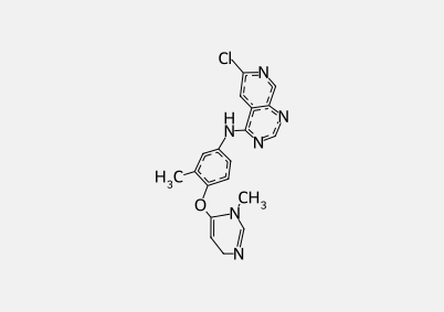 Cc1cc(Nc2ncnc3cnc(Cl)cc23)ccc1OC1=CCN=CN1C